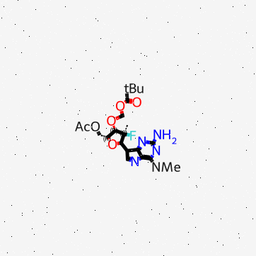 CNc1nc(N)nc2c1N=CC2C1O[C@H](COC(C)=O)[C@@H](OCOC(=O)C(C)(C)C)[C@@]1(C)F